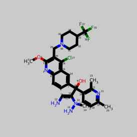 COc1nc2ccc(C(O)(/C(=C/N)N(C)N)c3ccc(C)nc3C)cc2c(Cl)c1CN1CCC(C(F)(F)F)CC1